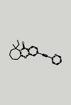 CCC1(C)CCCCc2nc3cc(C#Cc4ccccn4)ccc3c(=O)n21